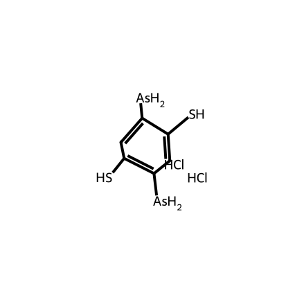 Cl.Cl.Sc1cc([AsH2])c(S)cc1[AsH2]